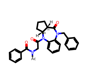 CC(=O)N(CC(=O)N1c2ccccc2N(Cc2ccccc2)C(=O)[C@H]2CCC[C@H]21)C(=O)c1ccccc1